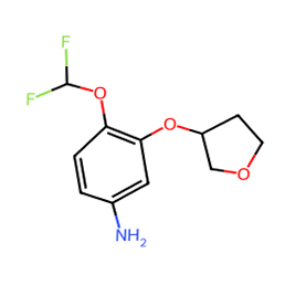 Nc1ccc(OC(F)F)c(OC2CCOC2)c1